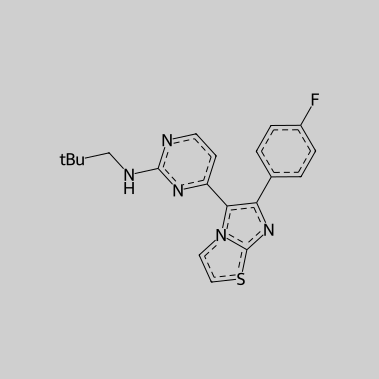 CC(C)(C)CNc1nccc(-c2c(-c3ccc(F)cc3)nc3sccn23)n1